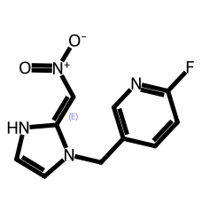 O=[N+]([O-])/C=C1\NC=CN1Cc1ccc(F)nc1